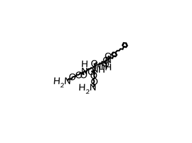 NCCOCCOCC(=O)NCCCC[C@H](NC(=O)COCCOCCN)C(=O)NCCCC(=O)ONC(=O)Cc1ccc(CCCCc2ccccc2)cc1